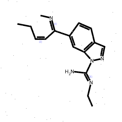 CC/C=C\C(=N/C)c1ccc2cnn(/C(N)=N/CC)c2c1